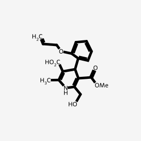 C=CCOc1ccccc1C1C(C(=O)O)=C(C)NC(CO)=C1C(=O)OC